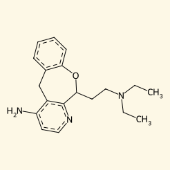 CCN(CC)CCC1Oc2ccccc2Cc2c(N)ccnc21